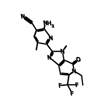 CCn1c(C(F)(F)F)cc2nc(-c3nc(N)c(C#N)cc3C)n(C)c2c1=O